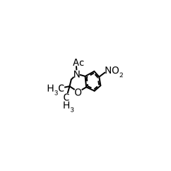 CC(=O)N1CC(C)(C)Oc2ccc([N+](=O)[O-])cc21